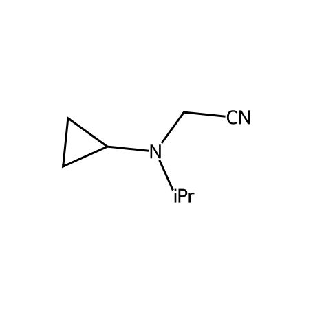 CC(C)N(CC#N)C1CC1